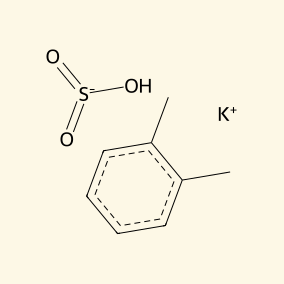 Cc1ccccc1C.O=[S-](=O)O.[K+]